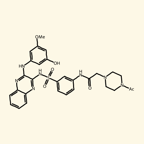 COc1cc(O)cc(Nc2nc3ccccc3nc2NS(=O)(=O)c2cccc(NC(=O)CN3CCN(C(C)=O)CC3)c2)c1